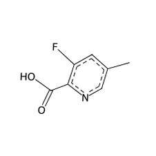 Cc1cnc(C(=O)O)c(F)c1